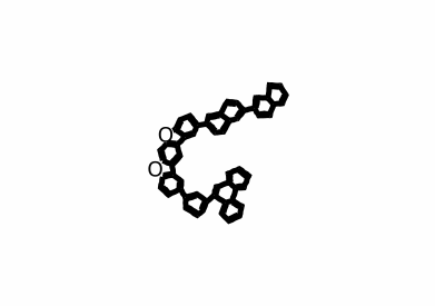 C1=CC2C=CC(c3ccc4cc(-c5ccc6oc7cc8oc9ccc(-c%10cccc(-c%11cc%12ccccc%12c%12ccccc%11%12)c%10)cc9c8cc7c6c5)ccc4c3)=CC2C=C1